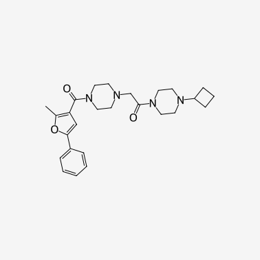 Cc1oc(-c2ccccc2)cc1C(=O)N1CCN(CC(=O)N2CCN(C3CCC3)CC2)CC1